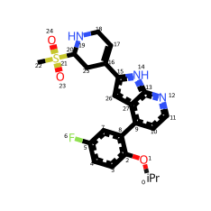 CC(C)Oc1ccc(F)cc1-c1ccnc2[nH]c(C3=CCNC(S(C)(=O)=O)C3)cc12